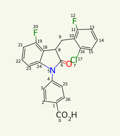 O=C(O)c1ccc(N2C(=O)C(Cc3c(F)cccc3Cl)c3c(F)cccc32)cc1